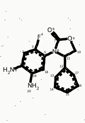 Nc1cc(F)c(N2C(=O)OCC2c2ccccc2)cc1N